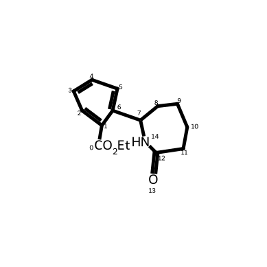 CCOC(=O)c1ccccc1C1CCCCC(=O)N1